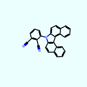 N#Cc1cccc(-n2c3ccc4ccccc4c3c3c4ccccc4ccc32)c1C#N